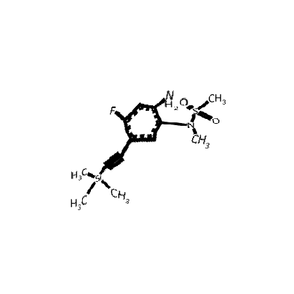 CN(c1cc(C#C[Si](C)(C)C)c(F)cc1N)S(C)(=O)=O